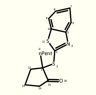 CCCCCC1(Sc2nc3ccccc3s2)CCCC1=O